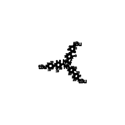 Cc1cc(-c2nc(-c3ccc(-c4ccc(C(C)(C)C)cc4)c(C)c3)nc(-c3ccc(-c4ccc(C(C)(C)C)cc4)c(C)c3)n2)ccc1-c1ccc(C(C)(C)C)cc1